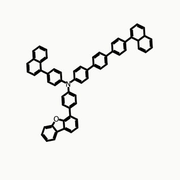 C1=CC2C=CC=C(c3ccc(-c4ccc(-c5ccc(N(c6ccc(-c7cccc8ccccc78)cc6)c6ccc(-c7cccc8c7oc7ccccc78)cc6)cc5)cc4)cc3)C2C=C1